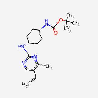 C=Cc1cnc(N[C@H]2CC[C@H](NC(=O)OC(C)(C)C)CC2)nc1C